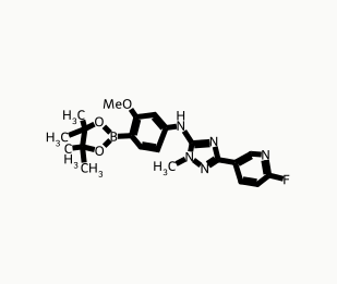 COc1cc(Nc2nc(-c3ccc(F)nc3)nn2C)ccc1B1OC(C)(C)C(C)(C)O1